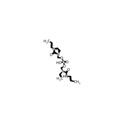 C=CN(COP(=O)(O)OCn1ccn(/C=C/C)c1=O)C(=O)N/C=C/C